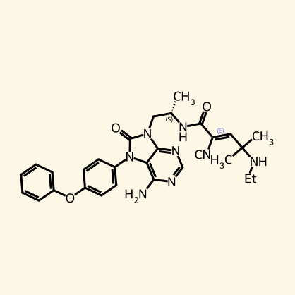 CCNC(C)(C)/C=C(\C#N)C(=O)N[C@@H](C)Cn1c(=O)n(-c2ccc(Oc3ccccc3)cc2)c2c(N)ncnc21